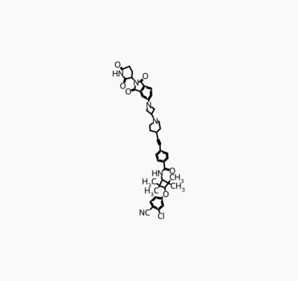 CC1(C)C(NC(=O)c2ccc(C#CC3CCN(C4CN(c5ccc6c(c5)C(=O)N(C5CCC(=O)NC5=O)C6=O)C4)CC3)cc2)C(C)(C)C1Oc1ccc(C#N)c(Cl)c1